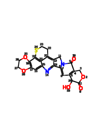 O=C1OCc2c(cc3n(c2=O)Cc2c-3nc3cc4c(c5c3c2CCS5)OCCO4)C1O